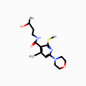 CCSc1nc(N2CCOCC2)cc(C)c1C(=O)NCCC(O)C(C)(C)C